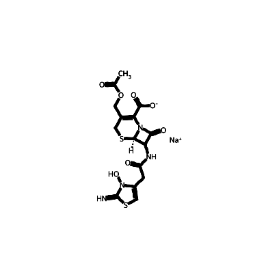 CC(=O)OCC1=C(C(=O)[O-])N2C(=O)C(NC(=O)Cc3csc(=N)n3O)[C@H]2SC1.[Na+]